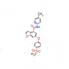 Cc1ccc(NC(=O)c2cc(Oc3ccc(S(C)(=O)=O)cc3)cc3occc23)nc1